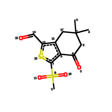 CC1(C)CC(=O)c2c(S(C)(=O)=O)sc(C=O)c2C1